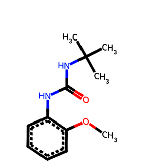 COc1ccccc1NC(=O)NC(C)(C)C